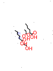 C/C=C/C=C/C(=O)O.CCC(=O)O.CCCCCC(=O)O.CCO